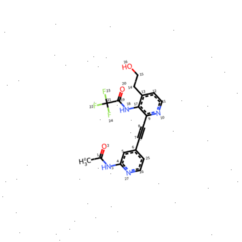 CC(=O)Nc1cc(C#Cc2nccc(CCO)c2NC(=O)C(F)(F)F)ccn1